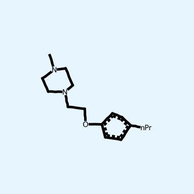 CCCc1ccc(OCCN2CCN(C)CC2)cc1